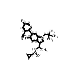 CC(N[S+]([O-])C1CC1)c1cn(CC(C)(C)C)c2cc(-c3ncc(F)cc3C#N)c(F)cc12